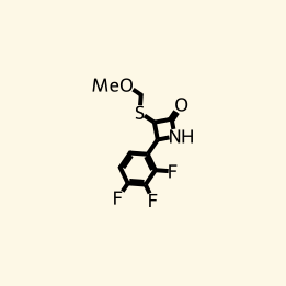 COCSC1C(=O)NC1c1ccc(F)c(F)c1F